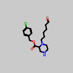 O=[C]CCCCCN1CCNCC1C(=O)OCc1ccc(Cl)cc1